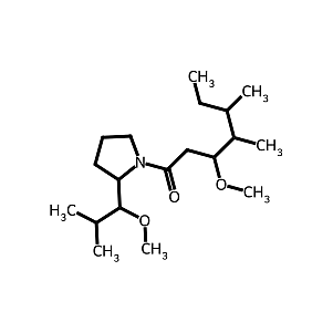 CCC(C)C(C)C(CC(=O)N1CCCC1C(OC)C(C)C)OC